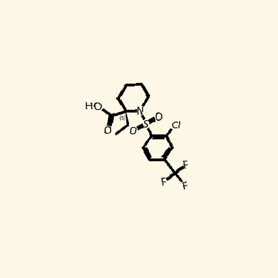 CC[C@@]1(C(=O)O)CCCCN1S(=O)(=O)c1ccc(C(F)(F)F)cc1Cl